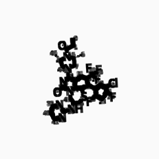 C=CC(=O)N1[C@H](C)CN(c2nc(=O)n3c4c(c(-c5cc(Cl)c(F)cc5F)c(C(F)(F)F)cc24)SCC(Nc2ncccn2)C3)C[C@@H]1C